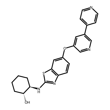 O[C@@H]1CCCC[C@H]1Nc1nc2ccc(Oc3cncc(-c4ccncc4)c3)cc2s1